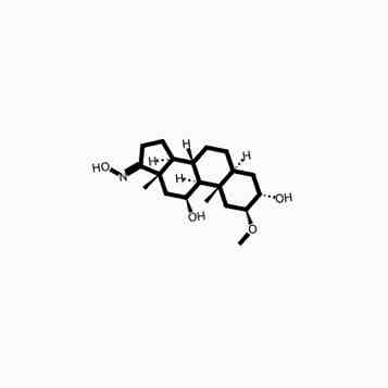 CO[C@H]1C[C@@]2(C)[C@@H](CC[C@@H]3[C@@H]2[C@@H](O)C[C@]2(C)/C(=N/O)CC[C@@H]32)C[C@@H]1O